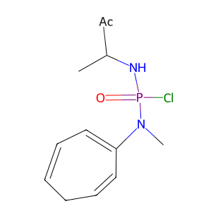 CC(=O)C(C)NP(=O)(Cl)N(C)C1=CC=CCC=C1